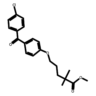 COC(=O)C(C)(C)CCCOc1ccc(C(=O)c2ccc(Cl)cc2)cc1